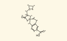 O=C(O)c1ccc2c(c1)CC[C@]1(CC(=O)N(CC3CCC3)C1)C2